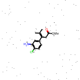 COC(=O)CC(=C(C)C)c1ccc(Cl)c(N)c1